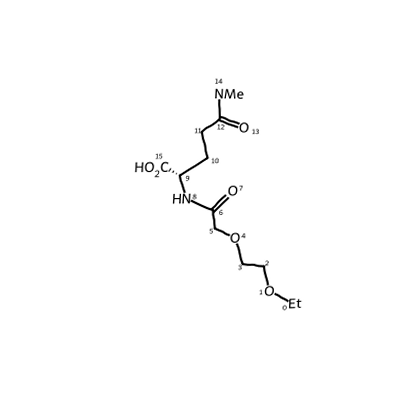 CCOCCOCC(=O)N[C@@H](CCC(=O)NC)C(=O)O